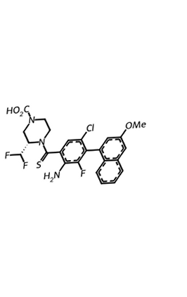 COc1cc(-c2c(Cl)cc(C(=S)N3CCN(C(=O)O)C[C@H]3C(F)F)c(N)c2F)c2ccccc2c1